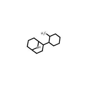 CC1CCCCC1C1CCC2BC1CCC2